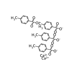 Cc1ccc(S(=O)(=O)[O-])cc1.Cc1ccc(S(=O)(=O)[O-])cc1.Cc1ccc(S(=O)(=O)[O-])cc1.Cc1ccc(S(=O)(=O)[O-])cc1.[Ca+2].[Ca+2]